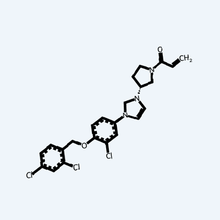 C=CC(=O)N1CC[C@@H](N2C=CN(c3ccc(OCc4ccc(Cl)cc4Cl)c(Cl)c3)C2)C1